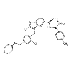 Cc1ccc(N(NC(=O)c2ccc3nc(C)n(Cc4ccc(COc5ccccc5)cc4Cl)c3c2)[SH](=O)=O)cc1